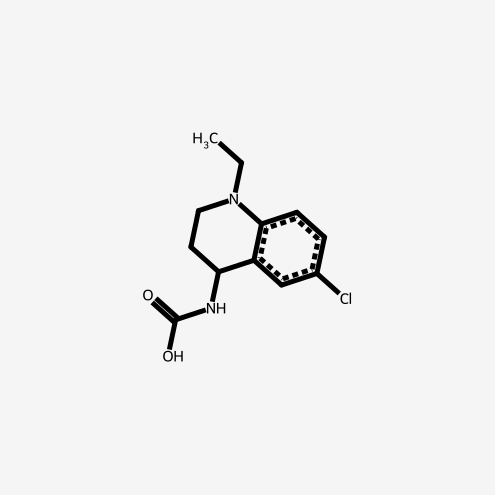 CCN1CCC(NC(=O)O)c2cc(Cl)ccc21